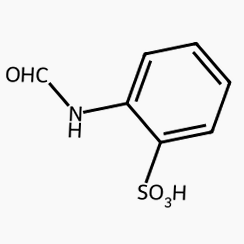 O=CNc1ccccc1S(=O)(=O)O